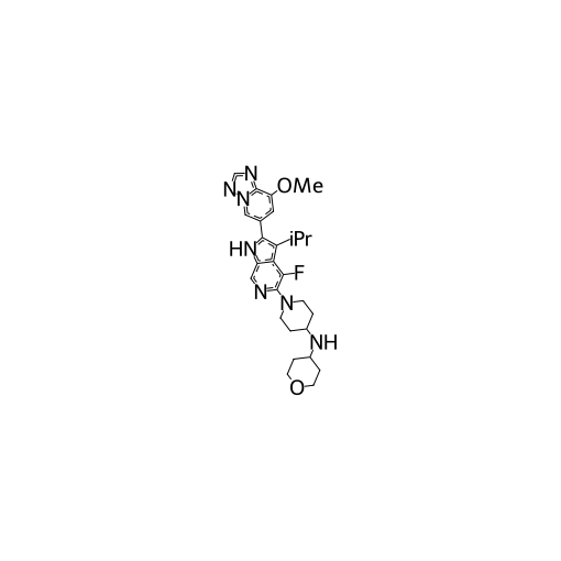 COc1cc(-c2[nH]c3cnc(N4CCC(NC5CCOCC5)CC4)c(F)c3c2C(C)C)cn2ncnc12